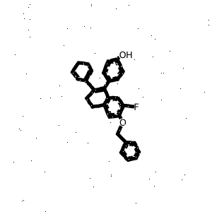 Oc1ccc(C2=C(C3=CCCC=C3)CCc3cc(OCc4ccccc4)c(F)cc32)cc1